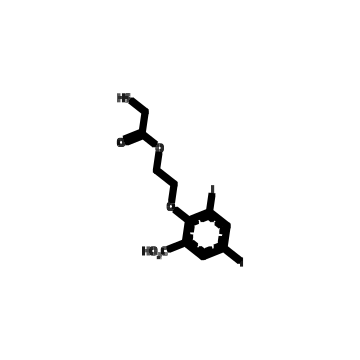 O=C(CS)OCCOc1c(I)cc(I)cc1C(=O)O